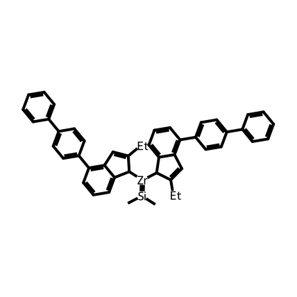 CCC1=Cc2c(-c3ccc(-c4ccccc4)cc3)cccc2[CH]1[Zr]([CH]1C(CC)=Cc2c(-c3ccc(-c4ccccc4)cc3)cccc21)=[Si](C)C